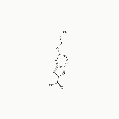 O=C(O)c1cc2ccc(OCCO)cc2s1